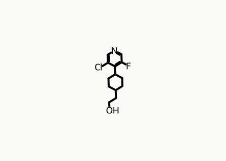 OCCC1CCC(c2c(F)cncc2Cl)CC1